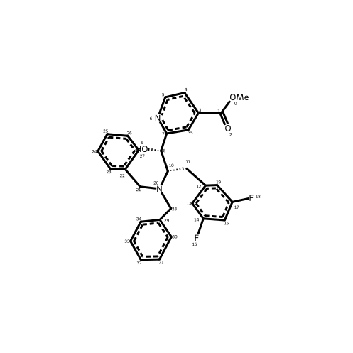 COC(=O)c1ccnc([C@@H](O)[C@H](Cc2cc(F)cc(F)c2)N(Cc2ccccc2)Cc2ccccc2)c1